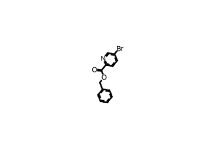 O=C(OCc1ccccc1)c1ccc(Br)cn1